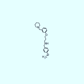 COc1ccc(CNCCCOc2cccc(CN3CCCCC3)c2)cc1